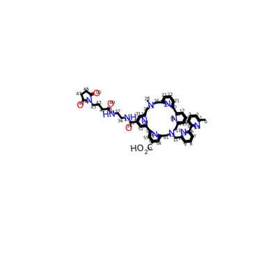 Cc1cccc(-c2cccc(CN3Cc4cccc(n4)-c4cccc(n4)CN(C)Cc4cc(C(=O)NCCNC(=O)CCCN5C(=O)CCC5=O)cc(n4)-c4cc(C(=O)O)cc(n4)C3)n2)n1